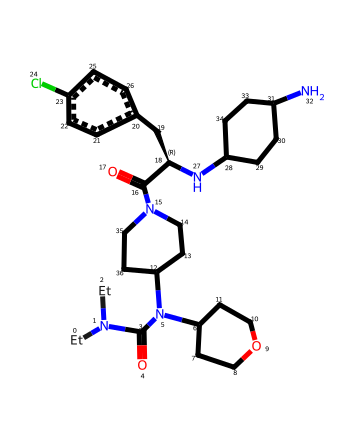 CCN(CC)C(=O)N(C1CCOCC1)C1CCN(C(=O)[C@@H](Cc2ccc(Cl)cc2)NC2CCC(N)CC2)CC1